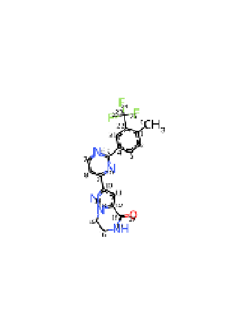 Cc1ccc(-c2nccc(-c3cc4n(n3)CCNC4=O)n2)cc1C(F)(F)F